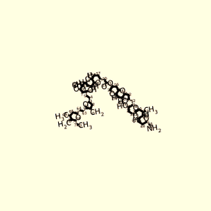 C=C1C[C@H](CC[C@]23C[C@@H](OC)[C@H](O2)[C@H]2C[C@@H](O3)[C@H]3O[C@@H](CC(=O)O[C@H]4CO[C@H]5C[C@H]6O[C@@H](C[C@@H]7O[C@@]8(CC[C@@H]7O)C[C@H](C)[C@@H]7O[C@H](CN)CC[C@@H]7O8)CC6OC5C4)CC[C@@H]3O2)O[C@H]1CC[C@H]1C[C@@H](C)C(=C)[C@@H](CC)O1